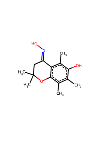 Cc1c(C)c2c(c(C)c1O)C(=NO)CC(C)(C)O2